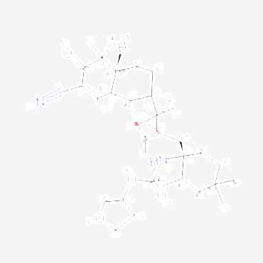 CC(=O)C[C@@H]1[C@@]2(C)C=C(C#N)C(=O)C(C)(C)[C@@H]2CC[C@@]1(C)C(C)(C)CC[C@@]1(NC(=O)OC2CCOC2)CCC(C)(C)CC1C